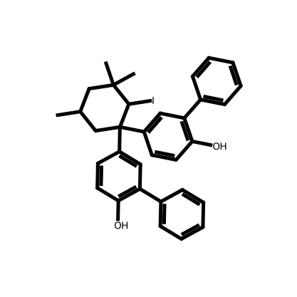 CC1CC(C)(C)C(I)C(c2ccc(O)c(-c3ccccc3)c2)(c2ccc(O)c(-c3ccccc3)c2)C1